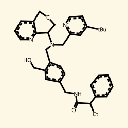 CCC(C(=O)NCc1ccc(CN(Cc2cc(C(C)(C)C)ccn2)C2CCCc3cccnc32)c(CO)c1)c1ccccc1